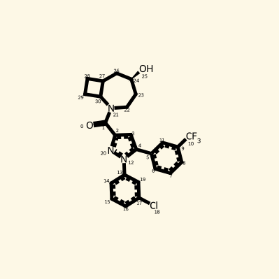 O=C(c1cc(-c2cccc(C(F)(F)F)c2)n(-c2cccc(Cl)c2)n1)N1CC[C@H](O)CC2CCC21